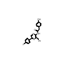 CC(C)Cc1nc(-c2ccc(F)cc2)cnc1NC(=O)Cc1ccc(O)cc1